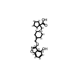 O=C(O)C1(CN2CCC(COc3noc4cccc(O)c34)CC2)CCCC1